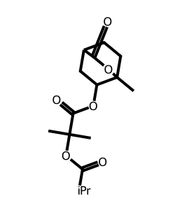 CC(C)C(=O)OC(C)(C)C(=O)OC1CC2CCC1(C)OC2=O